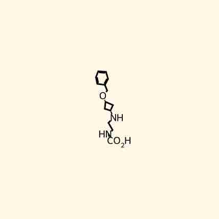 O=C(O)NCCN[C@H]1C[C@H](OCc2ccccc2)C1